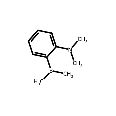 CB(C)c1ccccc1N(C)C